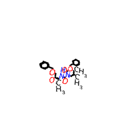 CCC(C)CN(C(=O)N[C@@H](C)C(=O)COCc1ccccc1)C(=O)OCc1ccccc1